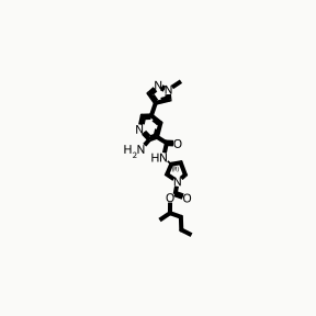 CCCC(C)OC(=O)N1CC[C@@H](NC(=O)c2cc(-c3cnn(C)c3)cnc2N)C1